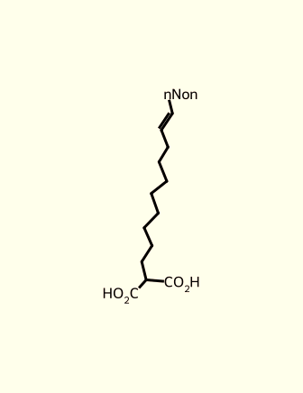 CCCCCCCCC/C=C/CCCCCCCCC(C(=O)O)C(=O)O